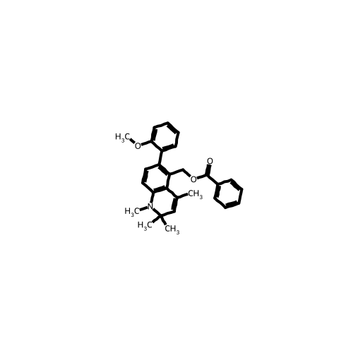 COc1ccccc1-c1ccc2c(c1COC(=O)c1ccccc1)C(C)=CC(C)(C)N2C